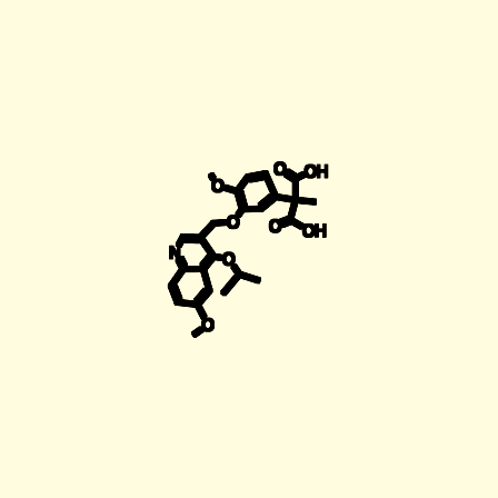 COc1ccc2ncc(COc3cc(C(C)(C(=O)O)C(=O)O)ccc3OC)c(OC(C)C)c2c1